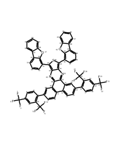 FC(F)(F)c1ccc(-c2ccc3c4ccc(-c5ccc(C(F)(F)F)cc5C(F)(F)F)cc4c4nc5c(-c6cccc7c6oc6ccccc67)sc(-c6cccc7c6oc6ccccc67)c5nc4c3c2)c(C(F)(F)F)c1